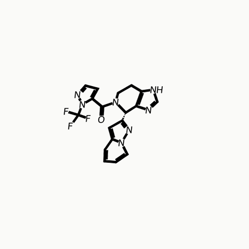 O=C(c1ccnn1C(F)(F)F)N1CCc2[nH]cnc2[C@@H]1c1cc2ccccn2n1